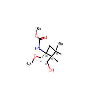 C[C@@H](O)[C@]1(C)[C@@](CO[SiH3])(NC(=O)OC(C)(C)C)C[C@@]1(C)C(C)(C)C